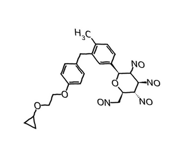 Cc1ccc([C@@H]2O[C@H](CN=O)[C@@H](N=O)[C@H](N=O)C2N=O)cc1Cc1ccc(OCCOC2CC2)cc1